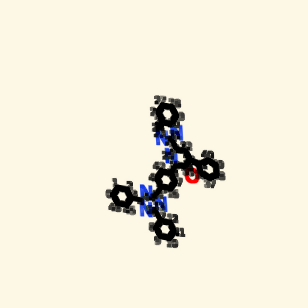 c1ccc(-c2nc(-c3ccccc3)nc(-c3ccc(-c4nc(-c5ncc6ccccc6n5)cc5c4oc4ccccc45)cc3)n2)cc1